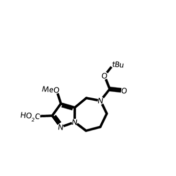 COc1c(C(=O)O)nn2c1CN(C(=O)OC(C)(C)C)CCC2